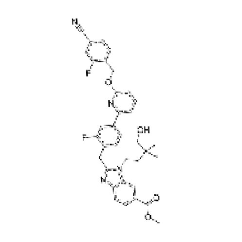 COC(=O)c1ccc2nc(Cc3ccc(-c4cccc(OCc5ccc(C#N)cc5F)n4)cc3F)n(CCC3(CO)CC3)c2c1